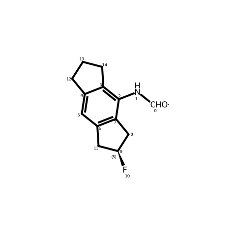 O=[C]Nc1c2c(cc3c1C[C@@H](F)C3)CCC2